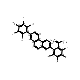 C=C(C)c1c(F)c(F)c(F)c(F)c1-c1ccc2c(ccc3cc(-c4c(F)c(F)c(F)c(F)c4F)ccc32)c1